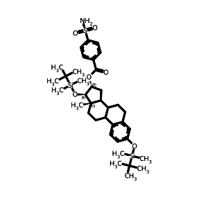 CC(C)(C)[Si](C)(C)Oc1ccc2c(c1)CCC1C2CC[C@@]2(C)C1C[C@@H](OC(=O)c1ccc(S(N)(=O)=O)cc1)[C@@H]2O[Si](C)(C)C(C)(C)C